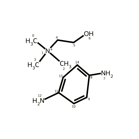 C[N+](C)(C)CCO.Nc1ccc(N)cc1